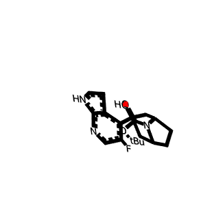 CC(C)(C)OC(=O)N1C2CCC1CC(O)(c1c(F)cnc3[nH]ccc13)C2